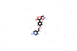 O=C(O)C(c1ccc(OCCC2CCNCC2)cc1)C1CC=NO1